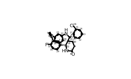 C#Cc1cc([C@@H]2NC(=O)C[C@@H](c3cccc(Cl)c3)[C@]23C(=O)Nc2cc(Cl)ccc23)ccc1F